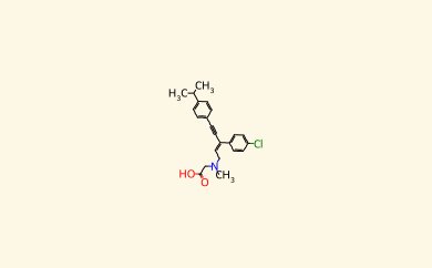 CC(C)c1ccc(C#CC(=CCN(C)CC(=O)O)c2ccc(Cl)cc2)cc1